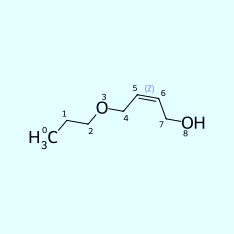 CCCOC/C=C\CO